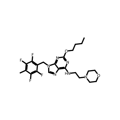 CCCCOc1nc(NCCN2CCOCC2)c2ncn(Cc3c(F)c(F)c(C)c(F)c3F)c2n1